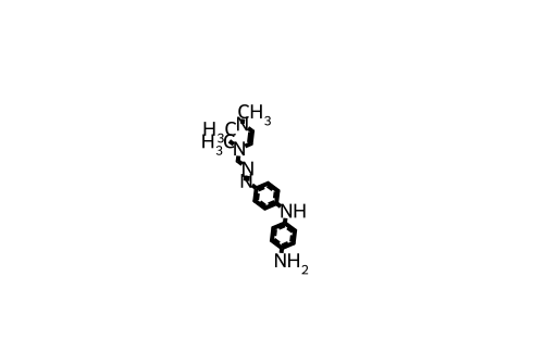 CN(C)/C=C\N(C)C/N=N/c1ccc(Nc2ccc(N)cc2)cc1